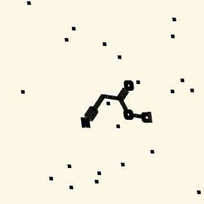 N#CCC(=O)OCl